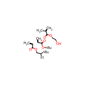 C=C(C)C(=O)OCCO.C=CC(=O)OCC(CC)CCCC.C=CC(=O)OCCCC